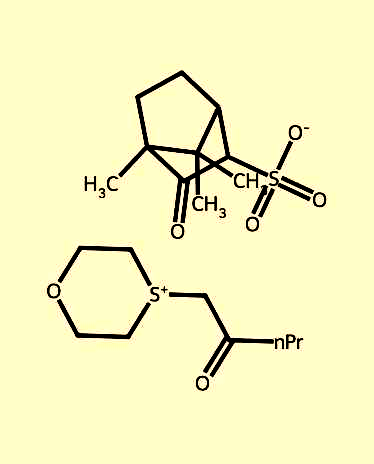 CC12CCC(C(S(=O)(=O)[O-])C1=O)C2(C)C.CCCC(=O)C[S+]1CCOCC1